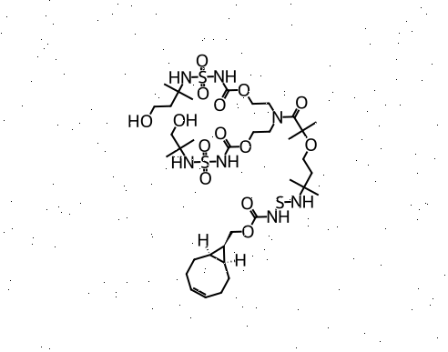 CC(C)(CCOC(C)(C)C(=O)N(CCOC(=O)NS(=O)(=O)NC(C)(C)CO)CCOC(=O)NS(=O)(=O)NC(C)(C)CCO)NSNC(=O)OC[C@@H]1[C@@H]2CC/C=C\CC[C@@H]21